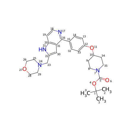 CC(C)(C)OC(=O)N1CCC(Oc2ccc(-c3nccc4[nH]c(CN5CCOCC5)cc34)cc2)CC1